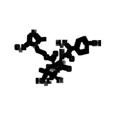 CC[C@@]1(C(=O)O)N2C(=O)[C@@H](NC(=O)C(N)c3ccc(O)cc3)[C@]2(C(=O)OCCn2c([N+](=O)[O-])cnc2C)SC1(C)C